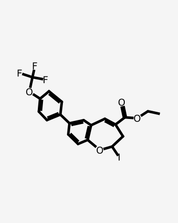 CCOC(=O)C1=Cc2cc(-c3ccc(OC(F)(F)F)cc3)ccc2OC(I)C1